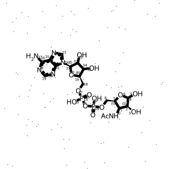 CC(=O)NC1[C@H](O)C(O)O[C@@H]1COP(=O)(O)OP(=O)(O)OC[C@H]1O[C@@H](n2cnc3c(N)ncnc32)C(O)C1O